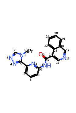 CC(C)n1cnnc1-c1cccc(NC(=O)c2cncc3ccccc23)n1